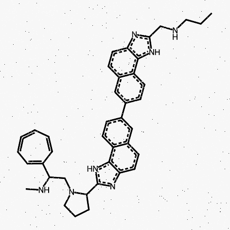 CCCNCc1nc2ccc3cc(-c4ccc5c(ccc6nc(C7CCCN7CC(NC)C7=CC=C=CC=C7)[nH]c65)c4)ccc3c2[nH]1